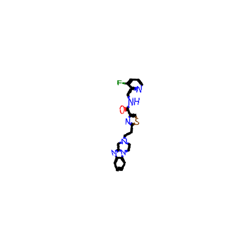 O=C(NCc1ncccc1F)c1csc(CCN2CCn3c(nc4ccccc43)C2)n1